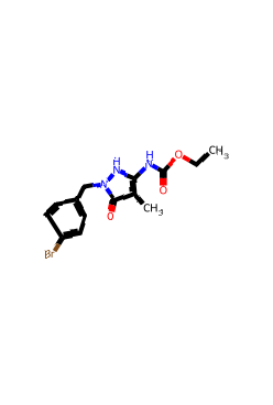 CCOC(=O)Nc1[nH]n(Cc2ccc(Br)cc2)c(=O)c1C